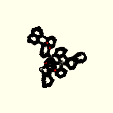 c1ccc(-c2cccc3cccc(-c4ccc(N(c5ccc6c(c5)oc5ccccc56)c5cccc6c5[Si](c5ccccc5)(c5ccccc5)c5ccc7ccccc7c5-6)cc4)c23)cc1